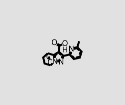 Cc1cccc(-c2nn3c(c2C(=O)O)C2CCC3CC2)n1